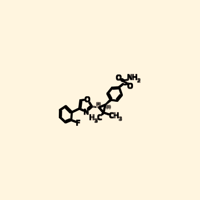 CC1(C)[C@H](c2ccc(S(N)(=O)=O)cc2)[C@H]1c1nc(-c2ccccc2F)co1